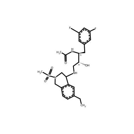 CCc1ccc2c(c1)C(NC[C@@H](O)[C@H](Cc1cc(F)cc(F)c1)NC(C)=O)CN(S(C)(=O)=O)C2